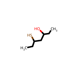 CCC(O)CC(S)CC